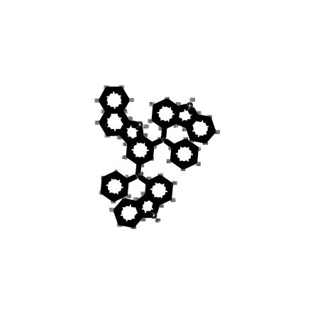 c1ccc(N(c2cc(N(c3ccccc3)c3cccc4oc5ccccc5c34)c3oc4c5ccccc5ccc4c3c2)c2cccc3oc4ccccc4c23)cc1